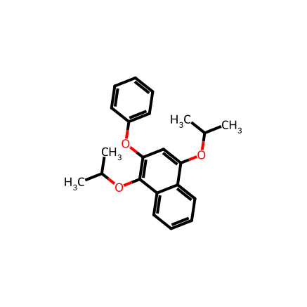 CC(C)Oc1cc(Oc2ccccc2)c(OC(C)C)c2ccccc12